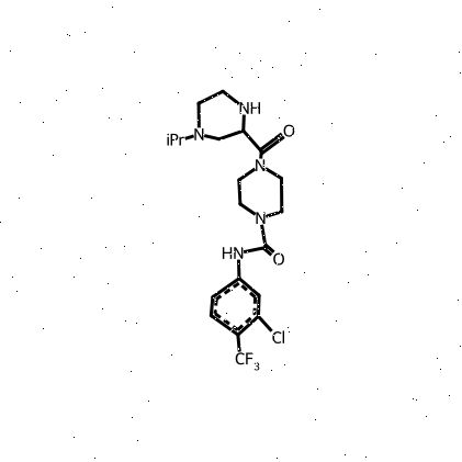 CC(C)N1CCNC(C(=O)N2CCN(C(=O)Nc3ccc(C(F)(F)F)c(Cl)c3)CC2)C1